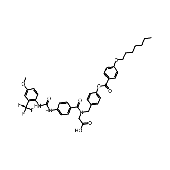 CCCCCCCOc1ccc(C(=O)Oc2ccc(CN(CC(=O)O)C(=O)c3ccc(NC(=O)Nc4ccc(OC)cc4C(F)(F)F)cc3)cc2)cc1